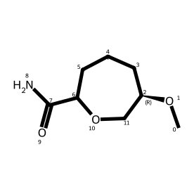 CO[C@@H]1C[CH]CC(C(N)=O)OC1